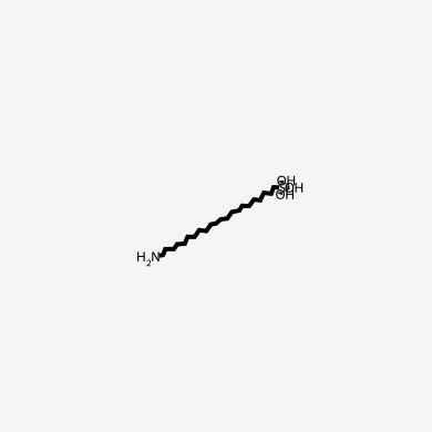 NCCCCCCCCCCCCCCCCCCCCCC[Si](O)(O)O